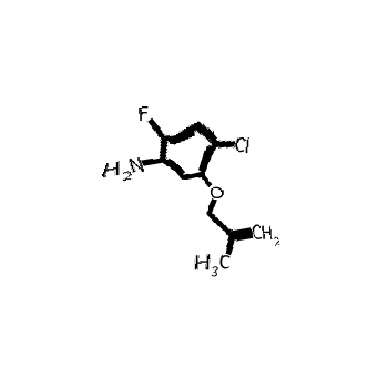 C=C(C)COc1cc(N)c(F)cc1Cl